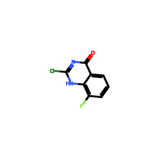 O=c1nc(Cl)[nH]c2c(F)cccc12